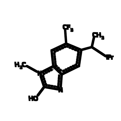 CC(C)C(C)c1cc2nc(O)n(C)c2cc1C(F)(F)F